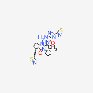 C[C@H](NC(=O)c1nc(-c2cscn2)cnc1N)c1nc2cccc(C#Cc3cncs3)c2c(=O)n1-c1ccccc1